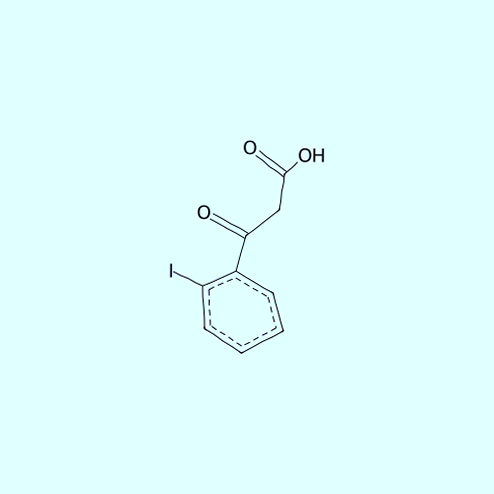 O=C(O)CC(=O)c1ccccc1I